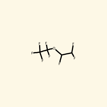 F[C](F)C(F)OC(F)(F)C(F)(F)F